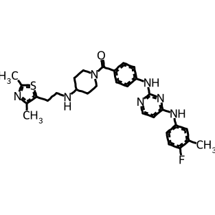 Cc1nc(C)c(CCNC2CCN(C(=O)c3ccc(Nc4nccc(Nc5ccc(F)c(C)c5)n4)cc3)CC2)s1